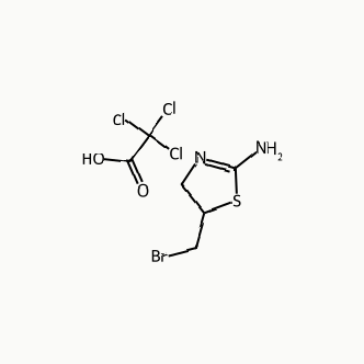 NC1=NCC(CBr)S1.O=C(O)C(Cl)(Cl)Cl